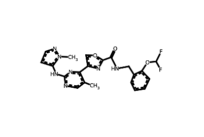 Cc1cnc(Nc2ccnn2C)nc1-c1coc(C(=O)NCc2ccccc2OC(F)F)n1